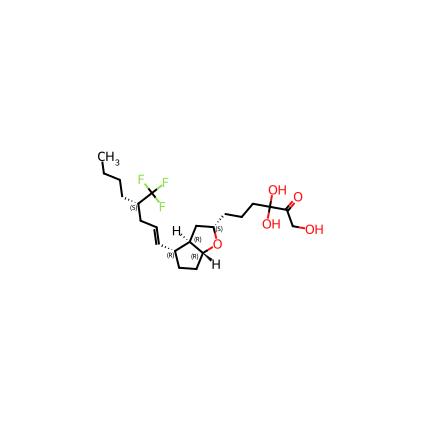 CCCC[C@@H](CC=C[C@H]1CC[C@H]2O[C@@H](CCCC(O)(O)C(=O)CO)C[C@H]12)C(F)(F)F